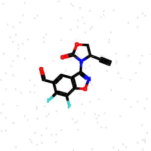 C#CC1COC(=O)N1c1noc2c(F)c(F)c(C=O)cc12